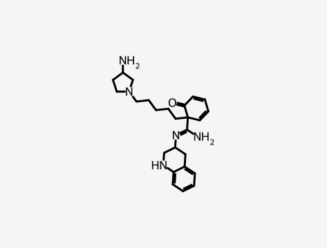 NC(=NC1CNc2ccccc2C1)C1(CCCCCN2CCC(N)C2)C=CC=CC1=O